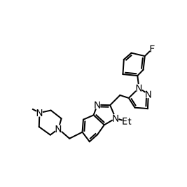 CCn1c(Cc2ccnn2-c2cccc(F)c2)nc2cc(CN3CCN(C)CC3)ccc21